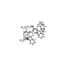 CCC1=CC2CN3CCc4c([nH]c5ccccc45)[C@@](C(=O)OC)(C2)C13.CC[C@]12C=CCN3CC[C@]4(C(=C(C(=O)OC)C1)Nc1ccccc14)[C@@H]32